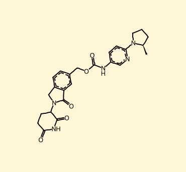 C[C@@H]1CCCN1c1ccc(NC(=O)OCc2ccc3c(c2)C(=O)N(C2CCC(=O)NC2=O)C3)cn1